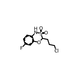 O=S1(=O)Nc2ccc(F)cc2OC1CCCCl